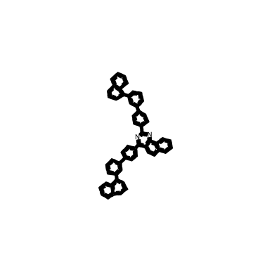 c1cc(-c2ccc(-c3nc(-c4ccc(-c5cccc(-c6cccc7ccccc67)c5)cc4)c4ccc5ccccc5c4n3)cc2)cc(-c2cccc3ccccc23)c1